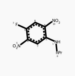 CCCNc1cc([N+](=O)[O-])c(F)cc1[N+](=O)[O-]